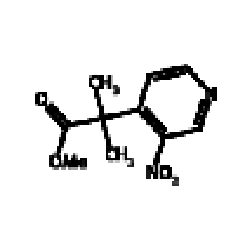 COC(=O)C(C)(C)c1ccncc1[N+](=O)[O-]